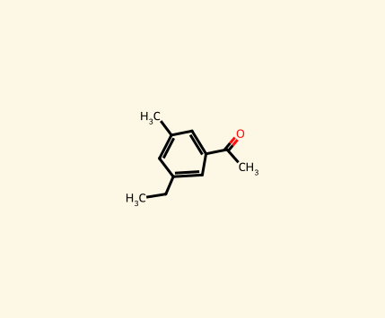 CCc1cc(C)cc(C(C)=O)c1